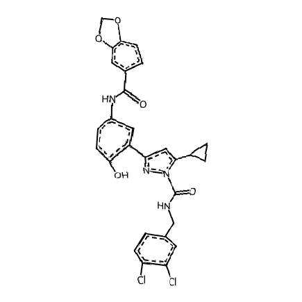 O=C(Nc1ccc(O)c(-c2cc(C3CC3)n(C(=O)NCc3ccc(Cl)c(Cl)c3)n2)c1)c1ccc2c(c1)OCO2